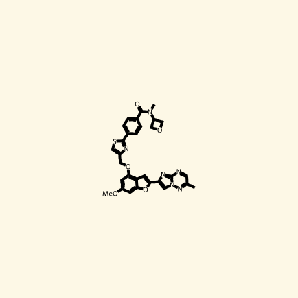 COc1cc(OCc2csc(-c3ccc(C(=O)N(C)C4COC4)cc3)n2)c2cc(-c3cn4nc(C)cnc4n3)oc2c1